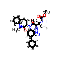 CN1C(=O)[C@H](N(C(=O)C(N)C(C)(C)NC(=O)OC(C)(C)C)c2ccc(-c3ccccc3)cc2)CCc2ccccc21